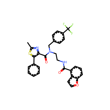 Cc1nc(C(=O)N(CCNC(=O)c2cccc3occc23)Cc2ccc(C(F)(F)F)cc2)c(-c2ccccc2)s1